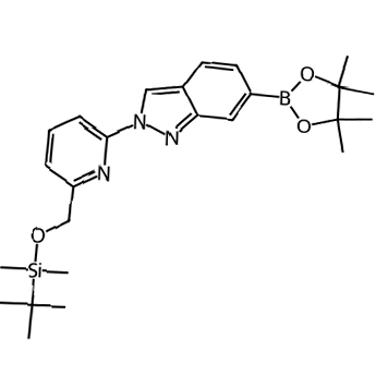 CC1(C)OB(c2ccc3cn(-c4cccc(CO[Si](C)(C)C(C)(C)C)n4)nc3c2)OC1(C)C